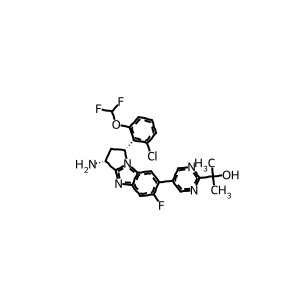 CC(C)(O)c1ncc(-c2cc3c(cc2F)nc2n3[C@@H](c3c(Cl)cccc3OC(F)F)C[C@H]2N)cn1